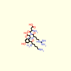 N=C(N)NCCCC(N)C(=O)N(C(=O)C(N)CC(=O)O)C(Cc1ccc(O)cc1C(=O)C(N)CCCCN)C(=O)O